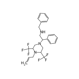 C=CCN1C(C(F)(F)F)CN(C(CNCc2ccccc2)c2ccccc2)CC1C(F)(F)F